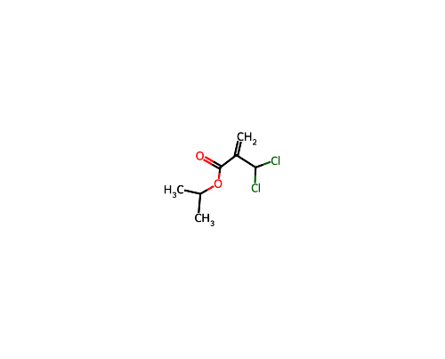 C=C(C(=O)OC(C)C)C(Cl)Cl